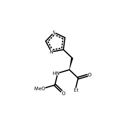 CCC(=O)[C@H](Cc1cscn1)NC(=O)OC